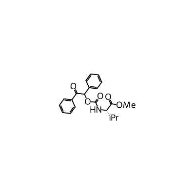 COC(=O)[C@@H](NC(=O)OC(C(=O)c1ccccc1)c1ccccc1)C(C)C